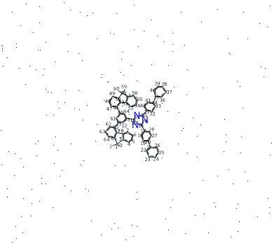 CC1(C)c2ccccc2-c2c(-c3cc(-c4nc(-c5ccc(-c6ccccc6)cc5)nc(-c5ccc(-c6ccccc6)cc5)n4)cc(-c4cccc5c4-c4ccccc4C5(C)C)c3)cccc21